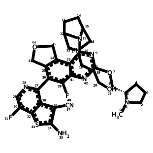 CN1CCC[C@H]1COc1nc(N2C3CCC2CN(CCCO)C3)c2c3c(c(-c4ncc(F)c5sc(N)c(C#N)c45)c(F)c2n1)COC3